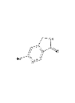 CC(C)(C)c1cc2c(cn1)C(=O)NC2